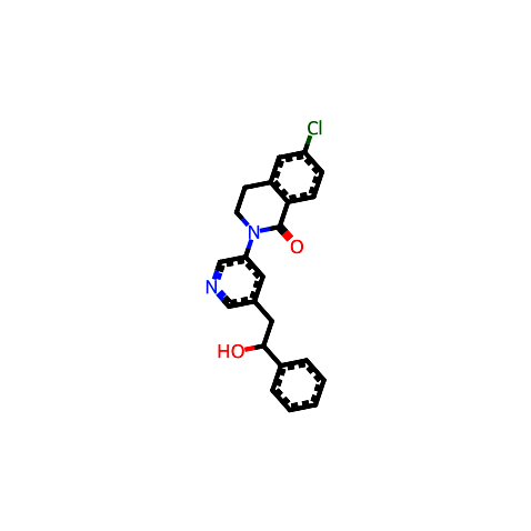 O=C1c2ccc(Cl)cc2CCN1c1cncc(CC(O)c2ccccc2)c1